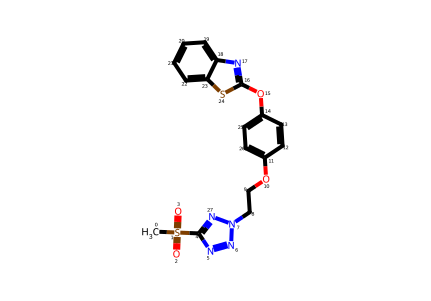 CS(=O)(=O)c1nnn(CCOc2ccc(Oc3nc4ccccc4s3)cc2)n1